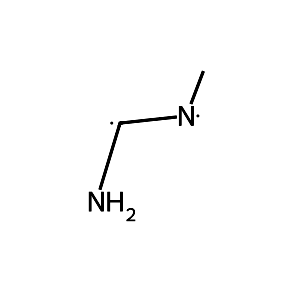 C[N][CH]N